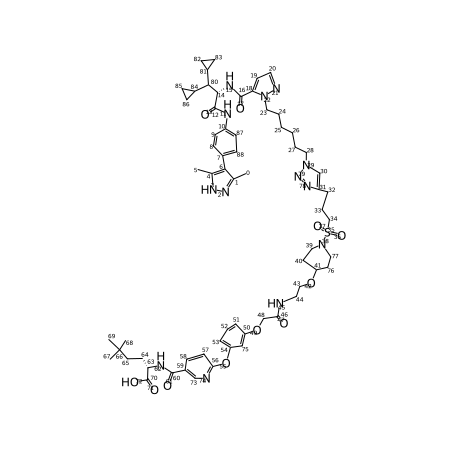 Cc1n[nH]c(C)c1-c1ccc(NC(=O)[C@@H](NC(=O)c2ccnn2CCCCCCn2cc(CCCS(=O)(=O)N3CCC(OCCNC(=O)COc4cccc(Oc5ccc(C(=O)N[C@@H](CCC(C)(C)C)C(=O)O)cn5)c4)CC3)nn2)C(C2CC2)C2CC2)cc1